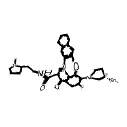 CN1CCCC1CCNC(=O)c1cn2c3c(c(N4CC[C@H](N)C4)c(F)cc3c1=O)Oc1cc3ccccc3cc1-2